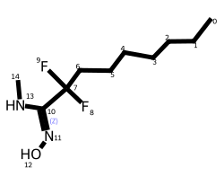 CCCCCCCC(F)(F)/C(=N/O)NC